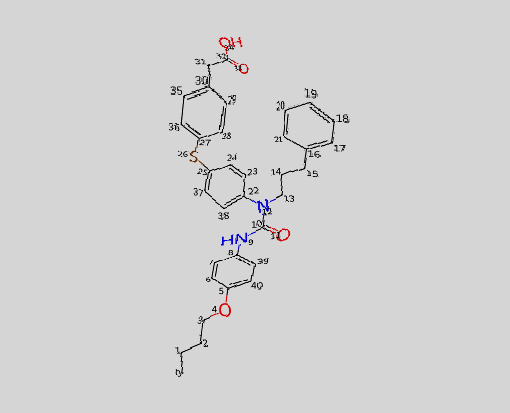 CCCCOc1ccc(NC(=O)N(CCCc2ccccc2)c2ccc(Sc3ccc(CC(=O)O)cc3)cc2)cc1